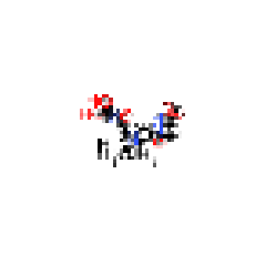 CC(C)(C)c1cc2cc(NC(=O)C3(c4ccc5c(c4)OCO5)CC3)ccc2n1CCCC(=O)N1C[C@@H](O)[C@@H](O)C1